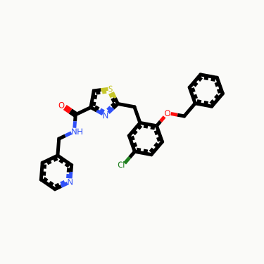 O=C(NCc1cccnc1)c1csc(Cc2cc(Cl)ccc2OCc2ccccc2)n1